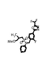 COCC(C)CS(=O)(=O)N(Cc1ccc(-c2nnc(C(F)F)o2)cc1F)c1ccccc1